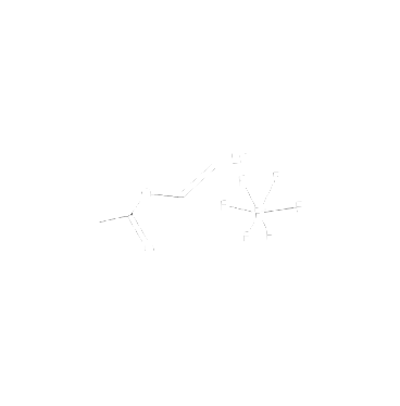 C=COC(C)=O.F[P-](F)(F)(F)(F)F.[Li+]